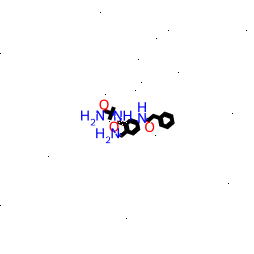 CC(C)(NC(=O)c1cc(NC(=O)Cc2ccccc2)ccc1CN)C(N)=O